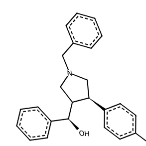 O[C@@H](c1ccccc1)C1CN(Cc2ccccc2)C[C@H]1c1ccc(Br)cc1